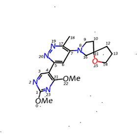 COc1ncc(-c2cc(N3CCC4(CCCO4)C3)c(C)nn2)c(OC)n1